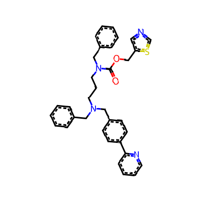 O=C(OCc1cncs1)N(CCCN(Cc1ccccc1)Cc1ccc(-c2ccccn2)cc1)Cc1ccccc1